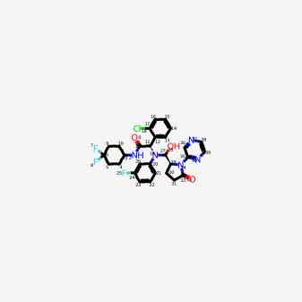 O=C(NC1CCC(F)(F)CC1)[C@H](c1ccccc1Cl)N(c1cccc(F)c1)C(O)[C@@H]1CCC(=O)N1c1cnccn1